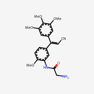 COc1ccc(C(=CC#N)c2cc(OC)c(OC)c(OC)c2)cc1NC(=O)CN